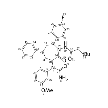 COc1cccc(N(C(N)=O)C2CC(c3ccccc3)CC(c3ccc(F)cc3)N(NC(=O)CC(C)(C)C)C2=O)c1